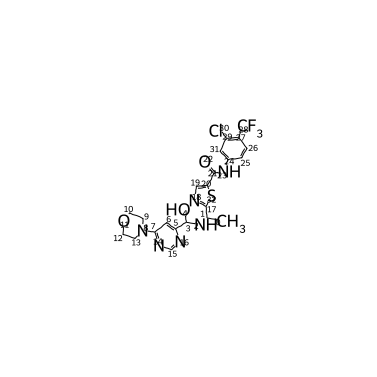 CC(NC(O)c1cc(N2CCOCC2)ncn1)c1ncc(C(=O)Nc2ccc(C(F)(F)F)c(Cl)c2)s1